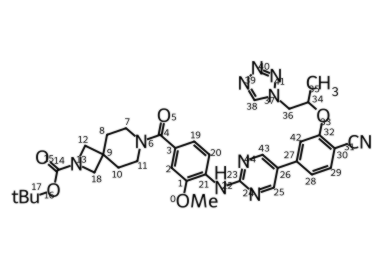 COc1cc(C(=O)N2CCC3(CC2)CN(C(=O)OC(C)(C)C)C3)ccc1Nc1ncc(-c2ccc(C#N)c(OC(C)Cn3cnnn3)c2)cn1